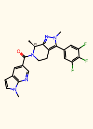 C[C@H]1c2nn(C)c(-c3cc(F)c(F)c(F)c3)c2CCN1C(=O)c1cnc2c(ccn2C)c1